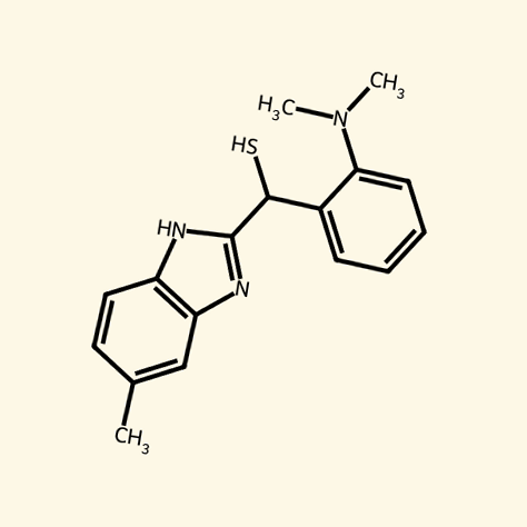 Cc1ccc2[nH]c(C(S)c3ccccc3N(C)C)nc2c1